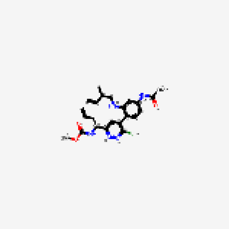 C=CC[C@H](NC(=O)OC(C)(C)C)c1cc(-c2ccc(NC(=O)OC)cc2NCC(C)C=C)c(Cl)nn1